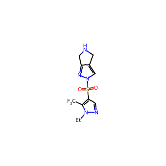 CCn1ncc(S(=O)(=O)n2cc3c(n2)CNC3)c1C(F)(F)F